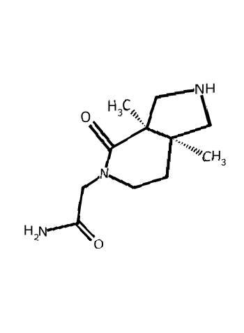 C[C@]12CCN(CC(N)=O)C(=O)[C@@]1(C)CNC2